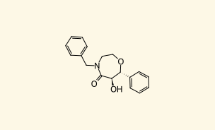 O=C1[C@H](O)[C@@H](c2ccccc2)OCCN1Cc1ccccc1